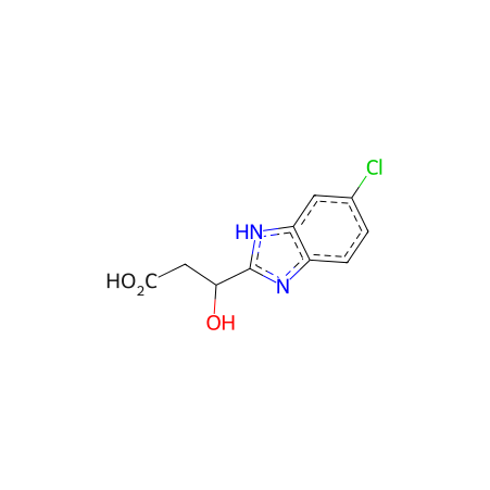 O=C(O)CC(O)c1nc2ccc(Cl)cc2[nH]1